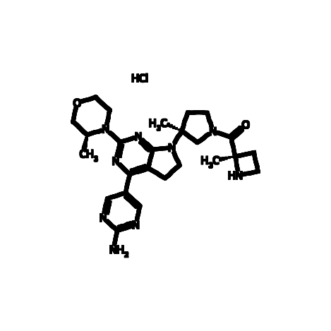 C[C@H]1COCCN1c1nc(-c2cnc(N)nc2)c2c(n1)N([C@@]1(C)CCN(C(=O)[C@@]3(C)CCN3)C1)CC2.Cl